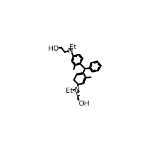 CCN(CCO)c1ccc(C(C2=CCC(N(CC)CCO)C=C2C)c2ccccc2)c(C)c1